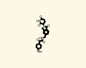 CC(C)(C)C1CCC(C(=O)C(=O)NCc2ccc3c(c2)CN(C2CCC(=O)NC2=O)C3=O)CC1